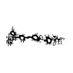 CC[C@@H](C(C)C)C1N=CN(c2ccc(COc3ccc(C#Cc4ccc(C(F)(F)C(O)(Cn5cnnn5)c5ccc(F)cc5F)nc4)cc3)cc2)C1=O